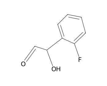 O=CC(O)c1ccccc1F